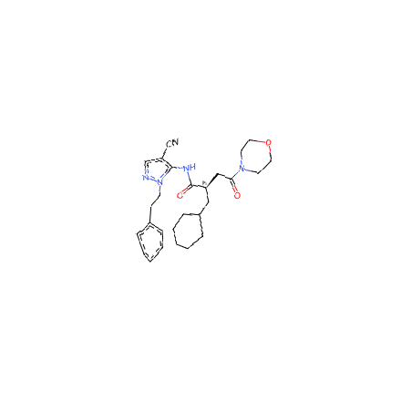 N#Cc1cnn(CCc2ccccc2)c1NC(=O)[C@@H](CC(=O)N1CCOCC1)CC1CCCCC1